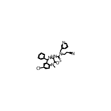 CN1C(=O)C(NC(=S)N(CCC#N)Cc2cccnc2)N=C(c2ccccc2)c2cc(Cl)ccc21